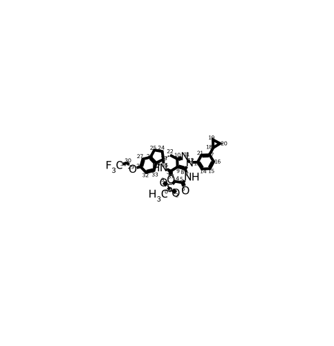 CS(=O)(=O)CC(=O)Nc1c2c(nn1-c1cccc(C3CC3)c1)C[C@]1(CCc3cc(OCC(F)(F)F)ccc31)NC2=O